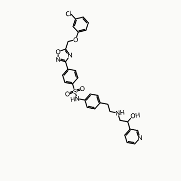 O=S(=O)(Nc1ccc(CCNCC(O)c2cccnc2)cc1)c1ccc(-c2noc(COc3cccc(Cl)c3)n2)cc1